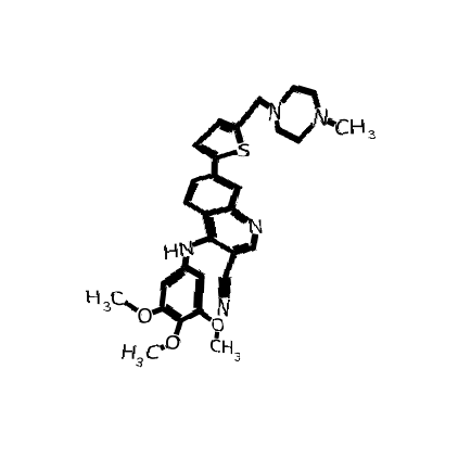 COc1cc(Nc2c(C#N)cnc3cc(-c4ccc(CN5CCN(C)CC5)s4)ccc23)cc(OC)c1OC